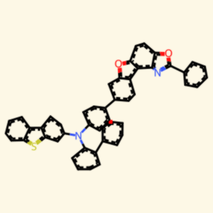 c1ccc(-c2nc3c(ccc4oc5cc(-c6ccc(N(c7ccc8c(c7)sc7ccccc78)c7ccccc7-c7ccccc7)cc6)ccc5c43)o2)cc1